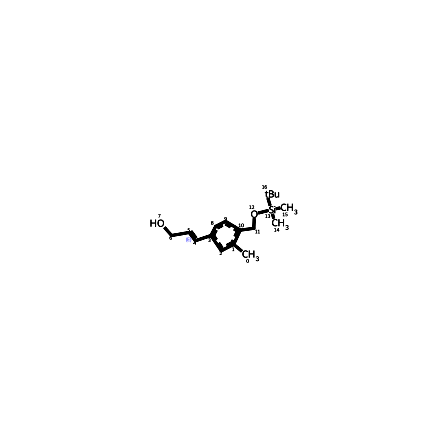 Cc1cc(/C=C/CO)ccc1CO[Si](C)(C)C(C)(C)C